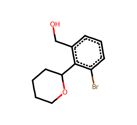 OCc1cccc(Br)c1C1CCCCO1